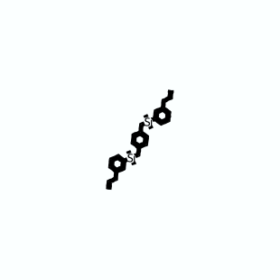 C=CCc1cccc([Si](C)(C)Cc2ccc(C[Si](C)(C)c3cccc(CC=C)c3)cc2)c1